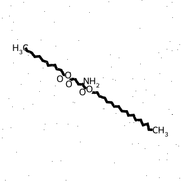 CCCCCCCCCCCCCCCCCCOC(=O)C(N)CCC(=O)OC(=O)CCCCCCCCCCC